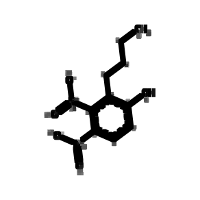 CCCCc1c(O)ccc([N+](=O)[O-])c1[N+](=O)[O-]